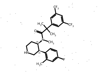 Cc1cc(F)ccc1[C@H]1CNCC[C@H]1N(C)C(=O)C(C)(C)c1cc(C(F)(F)F)cc(C(F)(F)F)c1